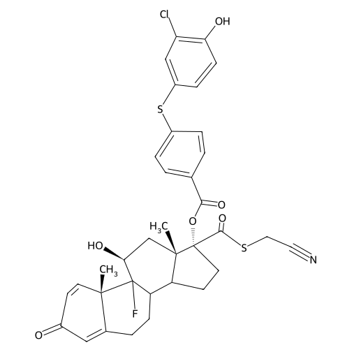 C[C@]12C=CC(=O)C=C1CCC1C3CC[C@](OC(=O)c4ccc(Sc5ccc(O)c(Cl)c5)cc4)(C(=O)SCC#N)[C@@]3(C)C[C@H](O)C12F